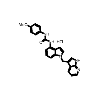 COc1ccc(NC(=O)Nc2cccc3c2ccn3Cc2c[nH]c3ncccc23)cc1.Cl